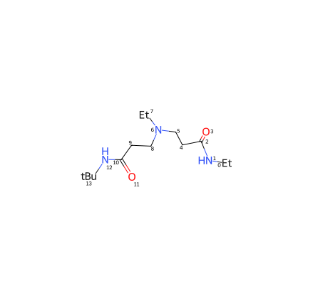 CCNC(=O)CCN(CC)CCC(=O)NC(C)(C)C